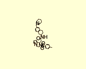 Cc1ccc(S(=O)(=O)N2CCn3cccc3C2CC(=O)NC2CCc3cc(CN4C5CCCC4CC5)ccc3C2)cc1